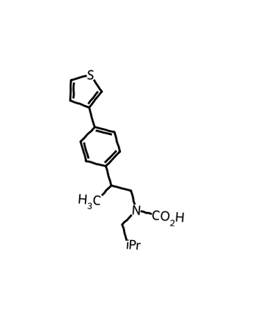 CC(C)CN(CC(C)c1ccc(-c2ccsc2)cc1)C(=O)O